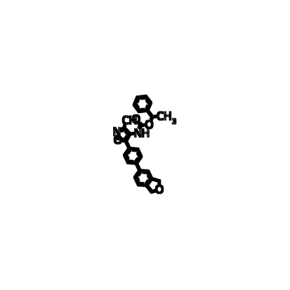 Cc1noc(-c2ccc(-c3ccc4c(c3)COC4)cc2)c1NC(=O)OC(C)c1ccccc1